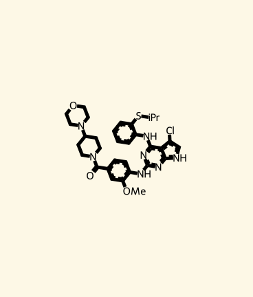 COc1cc(C(=O)N2CCC(N3CCOCC3)CC2)ccc1Nc1nc(Nc2ccccc2SC(C)C)c2c(Cl)c[nH]c2n1